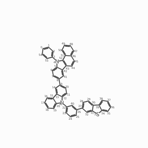 c1ccc(-n2c3ccc(-c4ccc5c(c4)c4ccccc4n5-c4cccc(-c5ccc6c(c5)sc5ccccc56)c4)cc3c3ccc4ccccc4c32)cc1